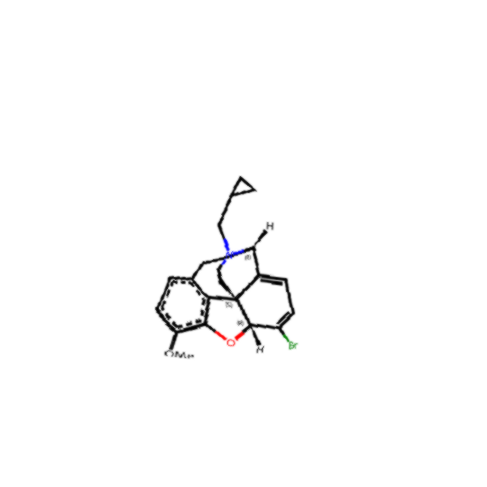 COc1ccc2c3c1O[C@H]1C(Br)=CC=C4[C@@H](C2)N(CC2CC2)CC[C@]431